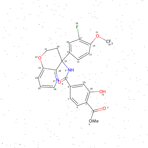 COC(=O)c1ccc(C(=O)NC2(c3ccc(OC(F)(F)F)c(F)c3)CCOc3cccnc32)cc1O